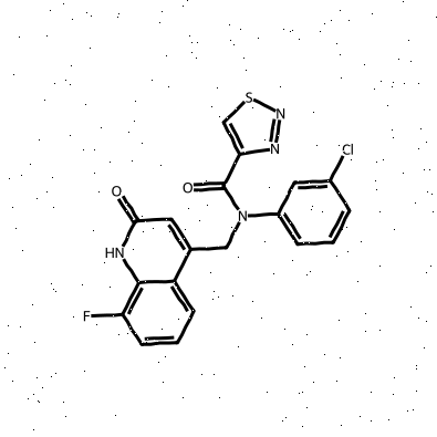 O=C(c1csnn1)N(Cc1cc(=O)[nH]c2c(F)cccc12)c1cccc(Cl)c1